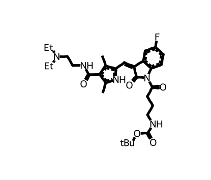 CCN(CC)CCNC(=O)c1c(C)[nH]c(C=C2C(=O)N(C(=O)CCCNC(=O)OC(C)(C)C)c3ccc(F)cc32)c1C